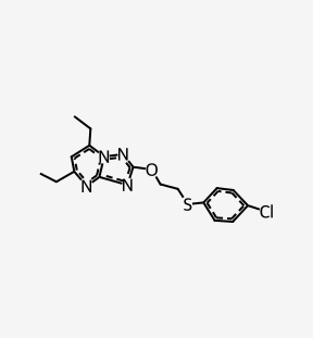 CCc1cc(CC)n2nc(OCCSc3ccc(Cl)cc3)nc2n1